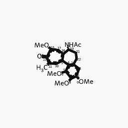 COc1cc2c(c(OC)c1OC)-c1cc(C)c(=O)c(OC)cc1[C@@H](NC(C)=O)CC2